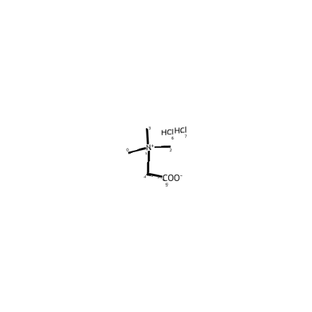 C[N+](C)(C)CC(=O)[O-].Cl.Cl